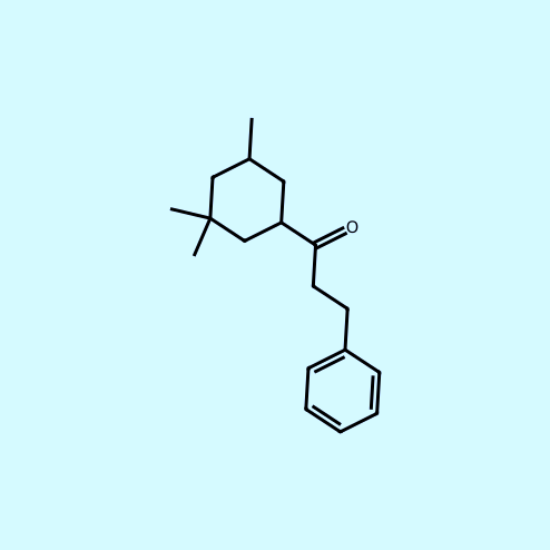 CC1CC(C(=O)CCc2ccccc2)CC(C)(C)C1